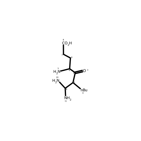 CCCCC(C(=O)C(N)CCC(=O)O)C(N)N